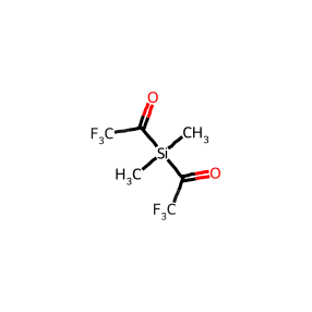 C[Si](C)(C(=O)C(F)(F)F)C(=O)C(F)(F)F